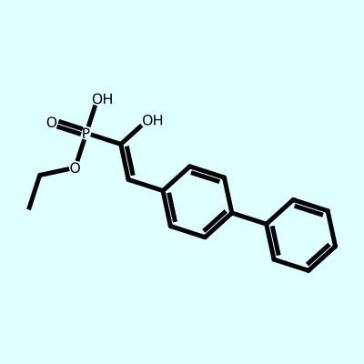 CCOP(=O)(O)C(O)=Cc1ccc(-c2ccccc2)cc1